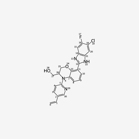 C=Cc1ccc(N2c3cccc(-c4nc5cc(F)c(Cl)cc5[nH]4)c3OCC2CO)nc1